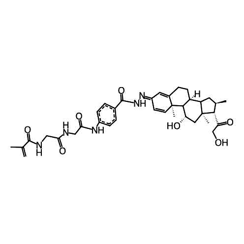 C=C(C)C(=O)NCC(=O)NCC(=O)Nc1ccc(C(=O)N/N=C2\C=C[C@@]3(C)C(=C2)CC[C@@H]2C3[C@@H](O)C[C@@]3(C)C2C[C@@H](C)[C@@H]3C(=O)CO)cc1